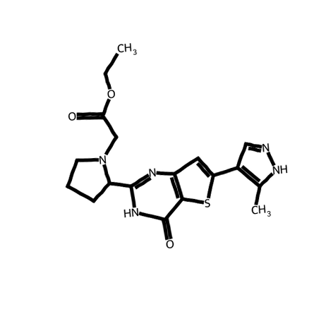 CCOC(=O)CN1CCCC1c1nc2cc(-c3cn[nH]c3C)sc2c(=O)[nH]1